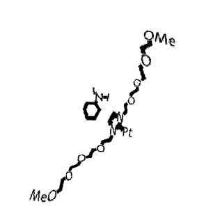 COCCOCCOCCOCCn1ccn(CCOCCOCCOCCOC)[c]1=[Pt].IN(I)C1CCCCC1